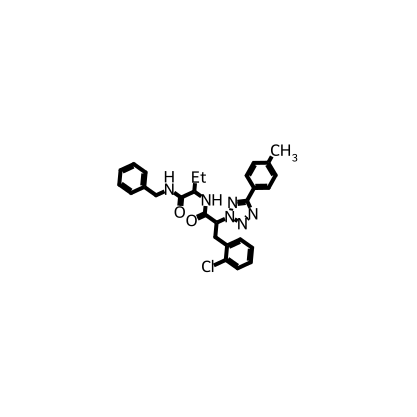 CCC(NC(=O)C(Cc1ccccc1Cl)n1nnc(-c2ccc(C)cc2)n1)C(=O)NCc1ccccc1